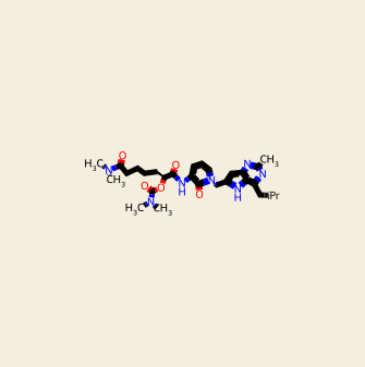 Cc1nc(CC(C)C)c2[nH]c(Cn3cccc(NC(=O)[C@H](CCCCC(=O)N(C)C)OC(=O)N(C)C)c3=O)cc2n1